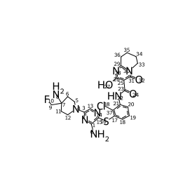 Nc1nc(N2CCC(N)(CF)CC2)cnc1Sc1cccc(NC(=O)c2c(O)nc3n(c2=O)CCCC3)c1Cl